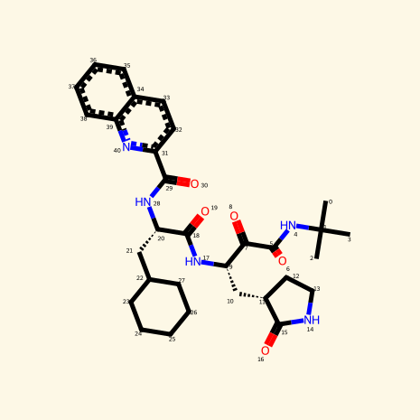 CC(C)(C)NC(=O)C(=O)[C@H](C[C@@H]1CCNC1=O)NC(=O)[C@H](CC1CCCCC1)NC(=O)c1ccc2ccccc2n1